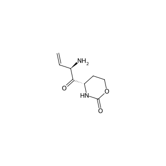 C=C[C@@H](N)C(=O)[C@@H]1CCOC(=O)N1